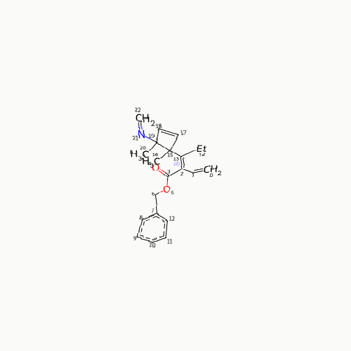 C=C/C(C(=O)OCc1ccccc1)=C(\CC)C1(C)C=CC1(C)N=C